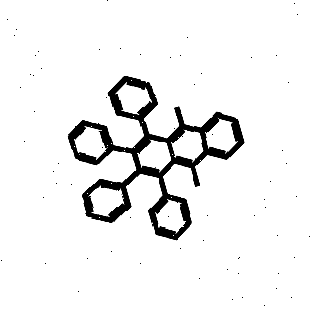 Cc1c2ccccc2c(C)c2c(-c3ccccc3)c(-c3ccccc3)c(-c3ccccc3)c(-c3ccccc3)c12